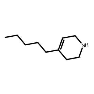 CCCCCC1=CCN[CH]C1